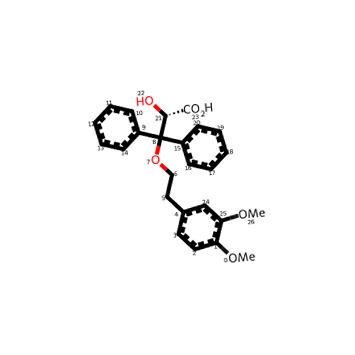 COc1ccc(CCOC(c2ccccc2)(c2ccccc2)[C@H](O)C(=O)O)cc1OC